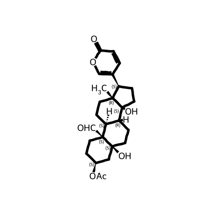 CC(=O)O[C@H]1CC[C@]2(C=O)[C@H]3CC[C@]4(C)[C@@H](c5ccc(=O)oc5)CC[C@]4(O)[C@@H]3CC[C@]2(O)C1